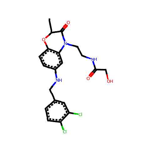 CC1Oc2ccc(NCc3ccc(Cl)c(Cl)c3)cc2N(CCNC(=O)CO)C1=O